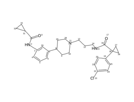 O=C(Nc1cccc(C2CCN(CCCNC(=O)C3(c4ccc(Cl)cc4)CC3)CC2)c1)C1CC1